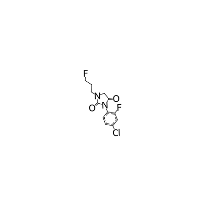 O=C1CN(CCCF)C(=O)N1c1ccc(Cl)cc1F